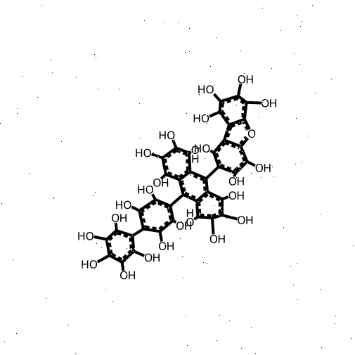 Oc1c(O)c(O)c(-c2c(O)c(O)c(-c3c4c(O)c(O)c(O)c(O)c4c(-c4c(O)c(O)c5oc6c(O)c(O)c(O)c(O)c6c5c4O)c4c(O)c(O)c(O)c(O)c34)c(O)c2O)c(O)c1O